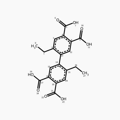 CCc1cc(C(=O)O)c(C(=O)O)cc1-c1cc(C(=O)O)c(C(=O)O)cc1CC